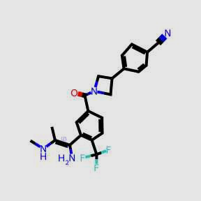 CN/C(C)=C(\N)c1cc(C(=O)N2CC(c3ccc(C#N)cc3)C2)ccc1C(F)(F)F